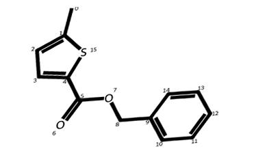 [CH2]c1ccc(C(=O)OCc2ccccc2)s1